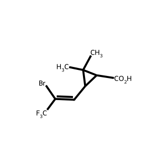 CC1(C)C(C=C(Br)C(F)(F)F)C1C(=O)O